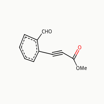 COC(=O)C#Cc1ccccc1C=O